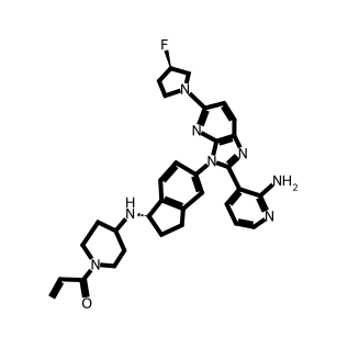 C=CC(=O)N1CCC(N[C@H]2CCc3cc(-n4c(-c5cccnc5N)nc5ccc(N6CC[C@@H](F)C6)nc54)ccc32)CC1